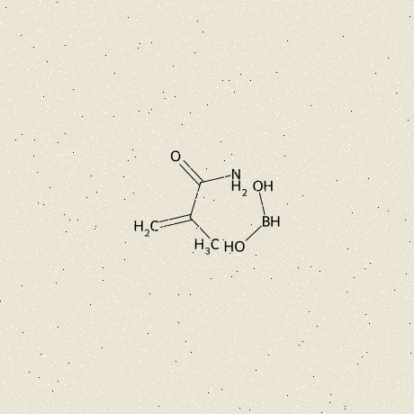 C=C(C)C(N)=O.OBO